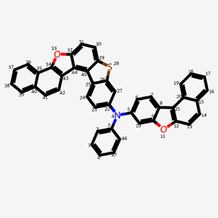 c1ccc(N(c2ccc3c(c2)oc2ccc4ccccc4c23)c2ccc3c(c2)sc2ccc4oc5c6ccccc6ccc5c4c23)cc1